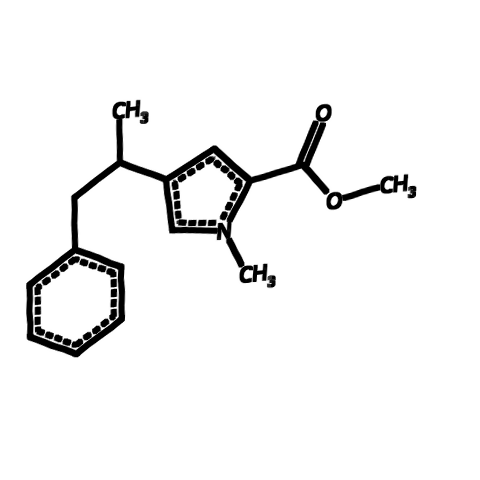 COC(=O)c1cc(C(C)Cc2ccccc2)cn1C